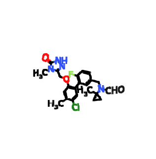 Cc1cc(OCc2n[nH]c(=O)n2C)c(-c2cc(CN(C=O)C3(C)CC3)ccc2F)cc1Cl